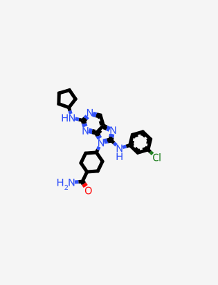 NC(=O)C1CCC(n2c(Nc3cccc(Cl)c3)nc3cnc(NC4CCCC4)nc32)CC1